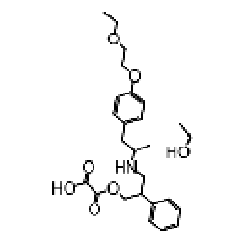 CCO.CCOCCOc1ccc(C[C@@H](C)NCC(COC(=O)C(=O)O)c2ccccc2)cc1